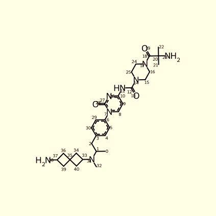 CC(Cc1ccc(-n2ccc(NC(=O)N3CCN(C(=O)C(C)(C)N)CC3)nc2=O)cc1)N(C)C1CC2(CC(N)C2)C1